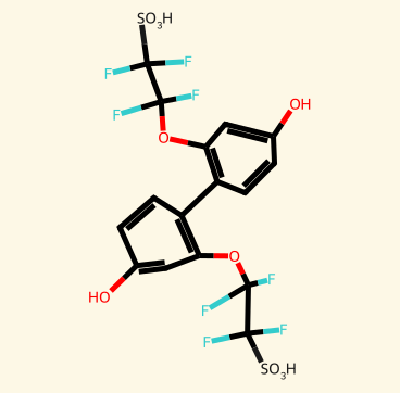 O=S(=O)(O)C(F)(F)C(F)(F)Oc1cc(O)ccc1-c1ccc(O)cc1OC(F)(F)C(F)(F)S(=O)(=O)O